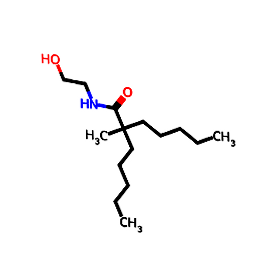 CCCCCC(C)(CCCCC)C(=O)NCCO